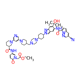 CCOC(=O)Cn1cc(NC(=O)[C@H]2CCCN(c3cncc(N4CCC(CN5CCN(C6CCC(n7cc8cc(NC(=O)c9ccc%10cc(C#N)cnn9%10)c(C(C)(C)O)cc8n7)CC6)CC5)CC4)c3)C2)ccc1=O